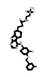 CS(=O)(=O)CCNC(=O)CCc1ccc2c(c1)sc1ncnc(Nc3ccc(OCc4cccc(F)c4)c(Cl)c3)c12